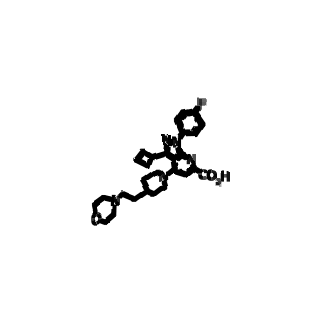 O=C(O)c1cc(N2CCC(CCN3CCOCC3)CC2)c2c(C3CCC3)nn(-c3ccc(F)cc3)c2n1